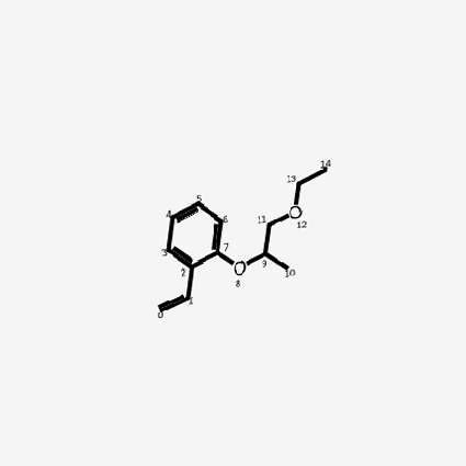 C=Cc1ccccc1OC(C)COCC